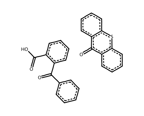 O=C(O)c1ccccc1C(=O)c1ccccc1.O=c1c2ccccc2sc2ccccc12